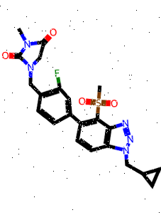 CN1C(=O)CN(Cc2ccc(-c3ccc4c(nnn4CC4CC4)c3S(C)(=O)=O)cc2F)C1=O